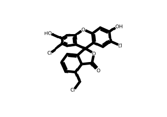 O=C1OC2(C3=CC=CC(CCl)C13)c1cc(Cl)c(O)cc1Oc1cc(O)c(Cl)cc12